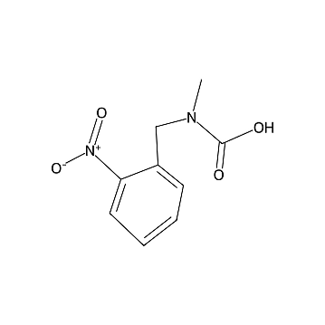 CN(Cc1ccccc1[N+](=O)[O-])C(=O)O